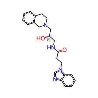 O=C(CCn1cnc2ccccc21)NC[C@@H](O)CN1CCc2ccccc2C1